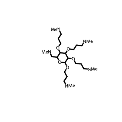 CNCCCOC1OC(CNC)C(OCCCNC)C(OCCCNC)C1OCCCNC